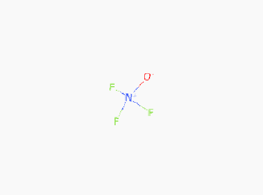 [O-][N+](F)(F)F